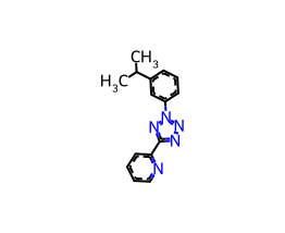 CC(C)c1cccc(-n2nnc(-c3ccccn3)n2)c1